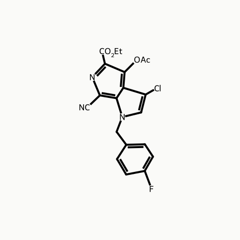 CCOC(=O)c1nc(C#N)c2c(c(Cl)cn2Cc2ccc(F)cc2)c1OC(C)=O